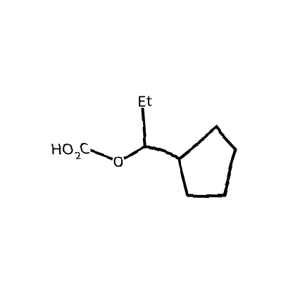 CCC(OC(=O)O)C1CCCC1